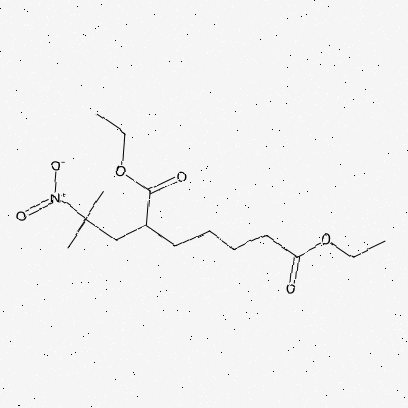 CCOC(=O)CCCCC(CC(C)(C)[N+](=O)[O-])C(=O)OCC